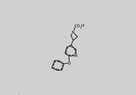 O=C(O)N1CC(c2ccc(Oc3ccccc3)nc2)C1